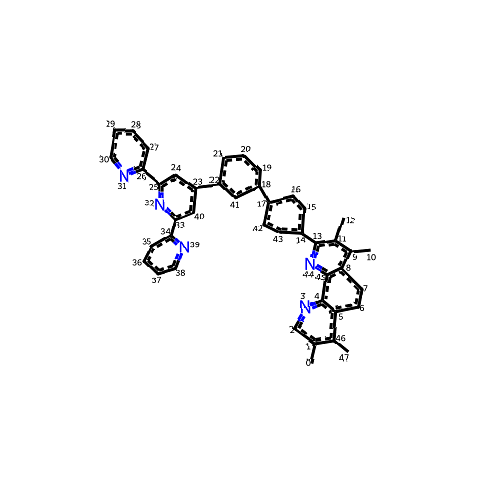 Cc1cnc2c(ccc3c(C)c(C)c(-c4ccc(-c5cccc(-c6cc(-c7ccccn7)nc(-c7ccccn7)c6)c5)cc4)nc32)c1C